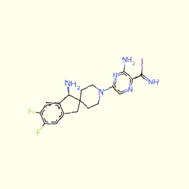 N=C(I)c1ncc(N2CCC3(CC2)Cc2cc(F)c(F)cc2[C@H]3N)nc1N